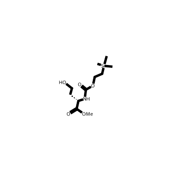 COC(=O)[C@H](CCO)NC(=O)OCC[Si](C)(C)C